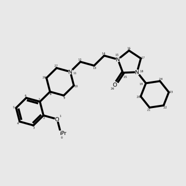 CC(C)Oc1ccccc1C1CCN(CCCN2CCN(C3CCCCC3)C2=O)CC1